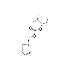 CCC(OC(=O)OCc1ccccc1)C(C)C